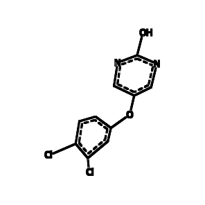 Oc1ncc(Oc2ccc(Cl)c(Cl)c2)cn1